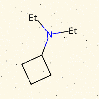 [CH2]CN(CC)C1CCC1